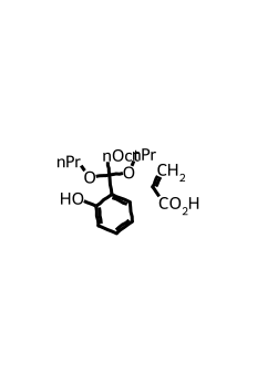 C=CC(=O)O.CCCCCCCCC(OCCC)(OCCC)c1ccccc1O